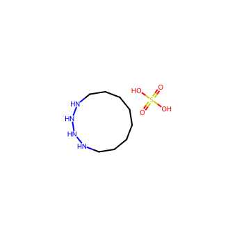 C1CCCCNNNNCCC1.O=S(=O)(O)O